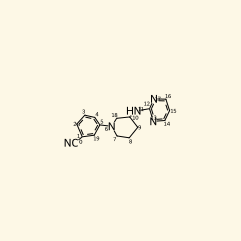 N#Cc1cccc(N2CCC[C@@H](Nc3ncccn3)C2)c1